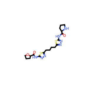 O=C(Nc1nnc(CCCCc2nnc(NC(=O)C3CCCO3)s2)s1)C1CCCN1